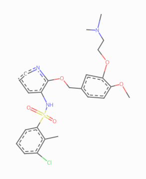 COc1ccc(COc2ncccc2NS(=O)(=O)c2cccc(Cl)c2C)cc1OCCN(C)C